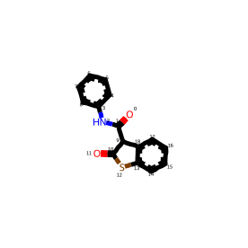 O=C(Nc1ccccc1)C1C(=O)Sc2ccccc21